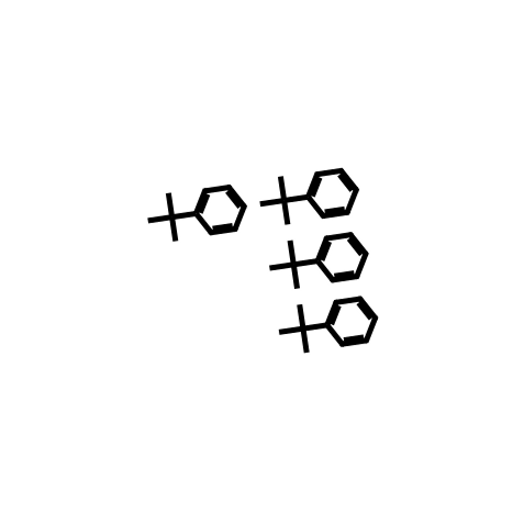 CC(C)(C)c1ccccc1.CC(C)(C)c1ccccc1.CC(C)(C)c1ccccc1.CC(C)(C)c1ccccc1